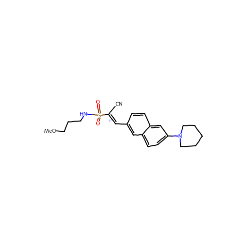 COCCCNS(=O)(=O)/C(C#N)=C/c1ccc2cc(N3CCCCC3)ccc2c1